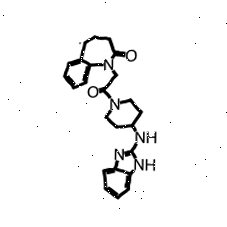 O=C(CN1C(=O)CC[CH]c2ccccc21)N1CCC(Nc2nc3ccccc3[nH]2)CC1